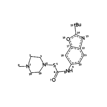 CN1CCN(SC(=O)Nc2ccc3nc(C(C)(C)C)oc3c2)CC1